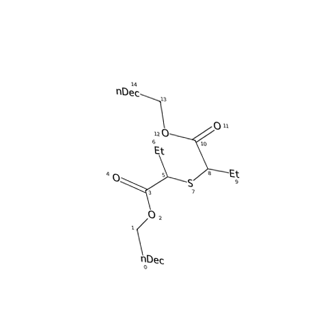 CCCCCCCCCCCOC(=O)C(CC)SC(CC)C(=O)OCCCCCCCCCCC